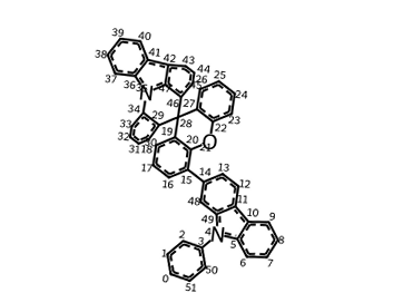 c1ccc(-n2c3ccccc3c3ccc(-c4cccc5c4Oc4ccccc4C54c5ccccc5-n5c6ccccc6c6cccc4c65)cc32)cc1